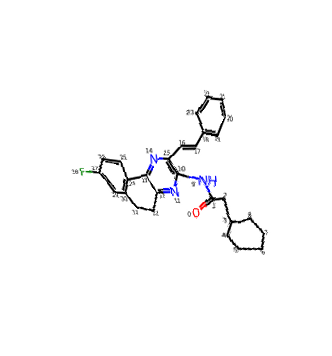 O=C(CC1CCCCC1)Nc1nc2c(nc1/C=C/c1ccccc1)-c1ccc(F)cc1CC2